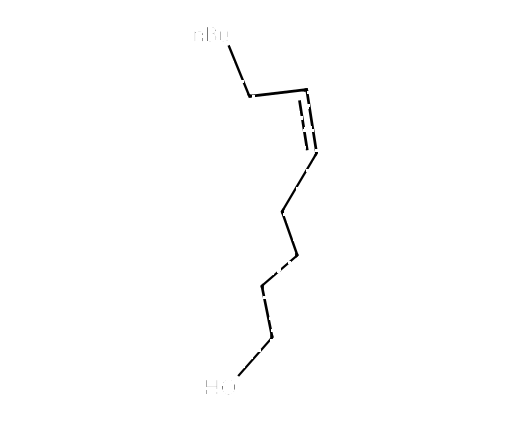 CCCCC/C=C\CCCCO